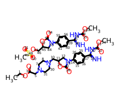 CCOC(=O)CN1CCN(CC2CN(c3ccc(C(=N)NC(=O)OC)cc3)C(=O)O2)CC1.COC(=O)NC(=N)c1ccc(N2CC(COS(C)(=O)=O)OC2=O)cc1